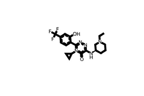 CCN1CCC[C@@H](Nc2nnc(-c3ccc(C(F)(F)F)cc3O)n(C3CC3)c2=O)C1